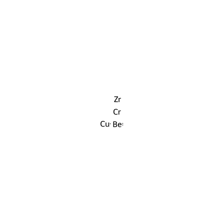 [Be].[Cr].[Cu].[Zr]